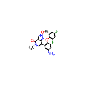 CCOn1cc2c(=O)n(C)cc(-c3cc(N)ccc3Oc3ccc(F)cc3F)c2n1